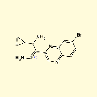 N/C=C(/c1cnc2ccc(Br)cc2n1)C(N)C1CC1